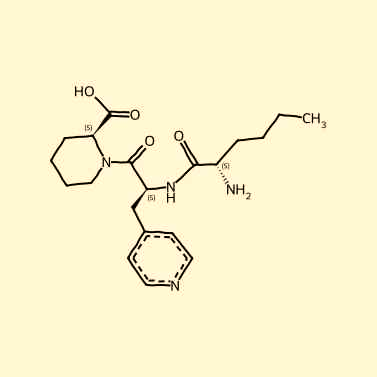 CCCC[C@H](N)C(=O)N[C@@H](Cc1ccncc1)C(=O)N1CCCC[C@H]1C(=O)O